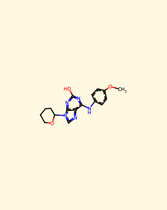 COc1ccc(Nc2nc(O)nc3c2ncn3C2CCCCO2)cc1